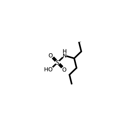 [CH2]CC(CCC)NS(=O)(=O)O